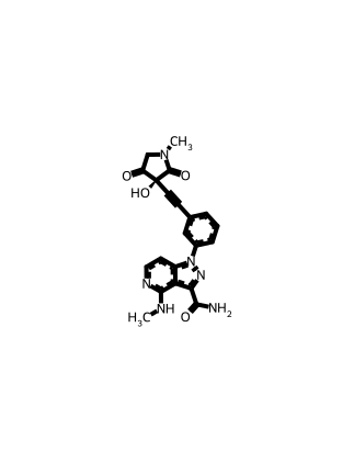 CNc1nccc2c1c(C(N)=O)nn2-c1cccc(C#C[C@]2(O)C(=O)CN(C)C2=O)c1